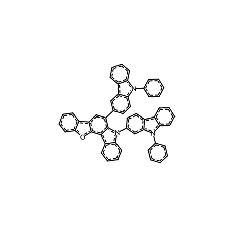 c1ccc(-n2c3ccccc3c3cc(-c4cc5c6ccccc6oc5c5c6ccccc6n(-c6ccc7c8ccccc8n(-c8ccccc8)c7c6)c45)ccc32)cc1